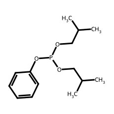 CC(C)COP(OCC(C)C)Oc1ccccc1